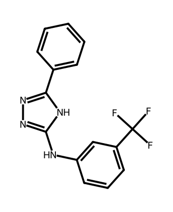 FC(F)(F)c1cccc(Nc2nnc(-c3ccccc3)[nH]2)c1